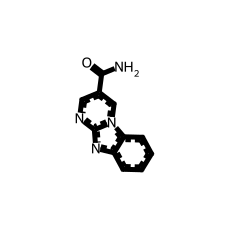 NC(=O)c1cnc2nc3ccccc3n2c1